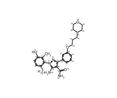 Cc1ccc(O)c(C)c1-n1nc(-c2cccc(OCCCN3CCOCC3)c2)c(C(N)=O)c1N